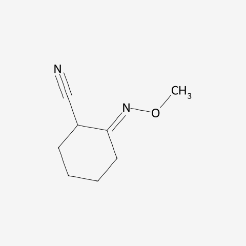 CON=C1CCCCC1C#N